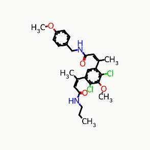 CCCNC(=O)/C=C(/C)c1cc(/C(C)=C\C(=O)NCc2ccc(OC)cc2)c(Cl)c(OC)c1Cl